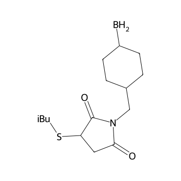 BC1CCC(CN2C(=O)CC(SC(C)CC)C2=O)CC1